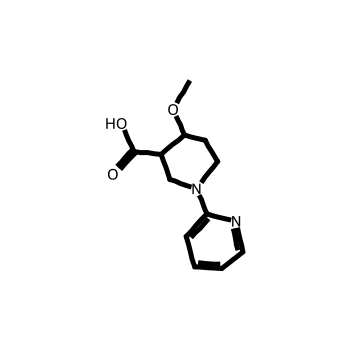 COC1CCN(c2ccccn2)CC1C(=O)O